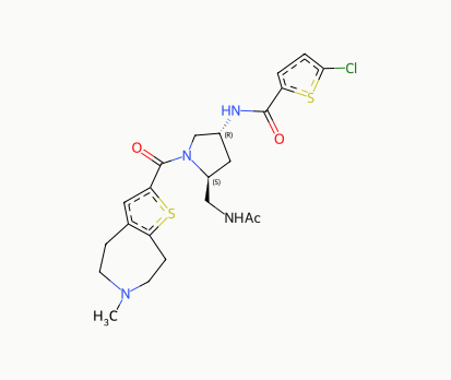 CC(=O)NC[C@@H]1C[C@@H](NC(=O)c2ccc(Cl)s2)CN1C(=O)c1cc2c(s1)CCN(C)CC2